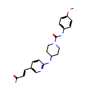 COc1ccc(NC(=O)N2CCC(Nc3ccc(/C=C/C(=O)O)cn3)CC2)cc1